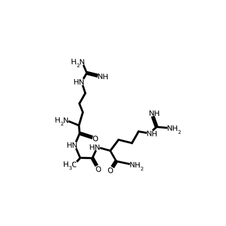 CC(NC(=O)C(N)CCCNC(=N)N)C(=O)NC(CCCNC(=N)N)C(N)=O